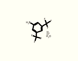 Bc1cc(C(F)(F)F)cc(C(F)(F)F)c1.O.O